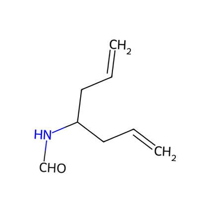 C=CCC(CC=C)NC=O